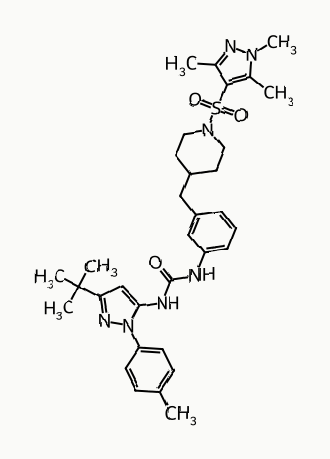 Cc1ccc(-n2nc(C(C)(C)C)cc2NC(=O)Nc2cccc(CC3CCN(S(=O)(=O)c4c(C)nn(C)c4C)CC3)c2)cc1